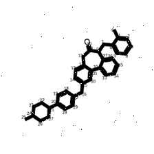 Cc1ccccc1CC1C(=O)Cc2ccc(Cc3ccc(C4CCC(C)CC4)cc3)cc2-c2ccccc21